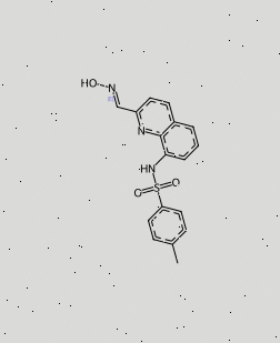 Cc1ccc(S(=O)(=O)Nc2cccc3ccc(/C=N/O)nc23)cc1